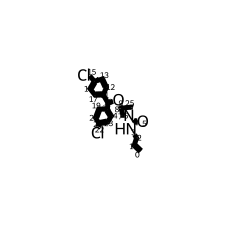 C=CCNC(=O)N1CC(OC(c2ccc(Cl)cc2)c2ccc(Cl)cc2)C1